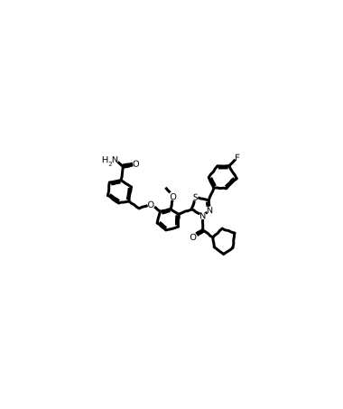 COc1c(OCc2cccc(C(N)=O)c2)cccc1C1SC(c2ccc(F)cc2)=NN1C(=O)C1CCCCC1